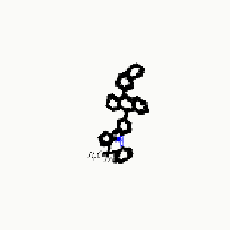 CC1(C)c2ccccc2-n2c3ccc(-c4c5ccccc5c(-c5ccc6ccccc6c5)c5ccccc45)cc3c3cccc1c32